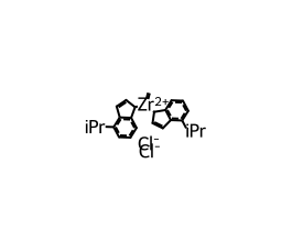 [CH2]=[Zr+2]([CH]1C=Cc2c(C(C)C)cccc21)[CH]1C=Cc2c(C(C)C)cccc21.[Cl-].[Cl-]